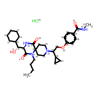 CCCCN1C(=O)[C@@H]([C@H](O)C2CCCCC2)NC(=O)C12CCN(C(COc1ccc(C(=O)NC)cc1)C1CC1)CC2.Cl